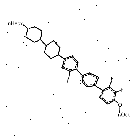 CCCCCCCCOc1ccc(-c2ccc(-c3ccc(C4CCC(C5CCC(CCCCCCC)CC5)CC4)cc3F)cc2)c(F)c1F